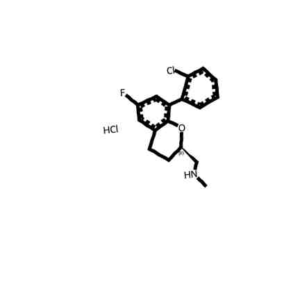 CNC[C@H]1CCc2cc(F)cc(-c3ccccc3Cl)c2O1.Cl